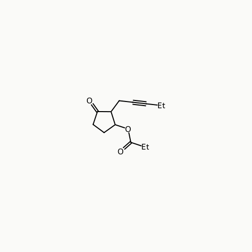 CCC#CCC1C(=O)CCC1OC(=O)CC